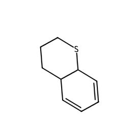 C1=CC2CCCSC2C=C1